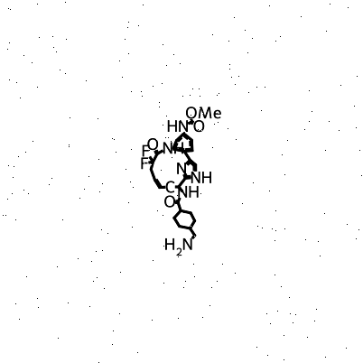 COC(=O)Nc1ccc2c(c1)NC(=O)C(F)(F)CC=CCC(NC(=O)C1CCC(CN)CC1)c1nc-2c[nH]1